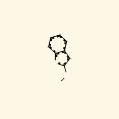 [SiH3]Oc1cc2ccccc2o1